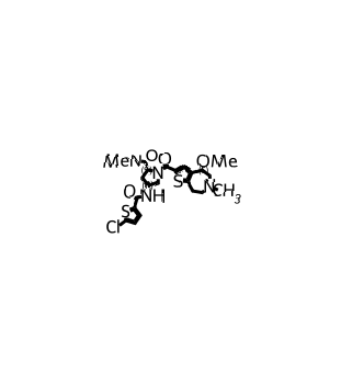 CNC(=O)[C@@H]1C[C@@H](NC(=O)c2ccc(Cl)s2)CN1C(=O)c1cc2c(s1)CCN(C)C[C@H]2OC